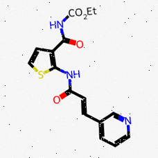 CCOC(=O)NC(=O)c1ccsc1NC(=O)/C=C/c1cccnc1